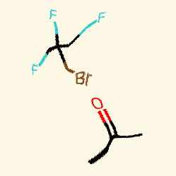 CC(C)=O.FC(F)(F)Br